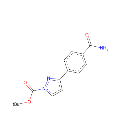 CC(C)(C)OC(=O)n1ccc(-c2ccc(C(N)=O)cc2)n1